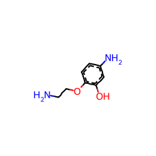 NCCOc1ccc(N)cc1O